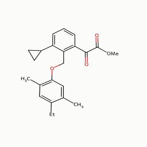 CCc1cc(C)c(OCc2c(C(=O)C(=O)OC)cccc2C2CC2)cc1C